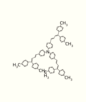 Cc1ccc(C(=C/C=C/c2ccc(N(c3ccc(/C=C/C=C(c4ccc(C)cc4)c4ccc(C)cc4)cc3)c3ccc(/C=C/C=C(c4ccc(C)cc4)c4ccc(C)cc4)cc3)cc2)c2ccc(C)cc2)cc1